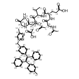 CC(=O)N[C@H](CC(=O)O)C(=O)N[C@H](CCC(=O)O)C(=O)NC(C(=O)N[C@H](CC(=O)O)C(=O)N[C@H](Cc1cn(Cc2ccc(/C(=C(\c3ccccc3)c3ccc(C)cc3)c3ccccc3)cc2)nn1)C(N)=O)C(C)C